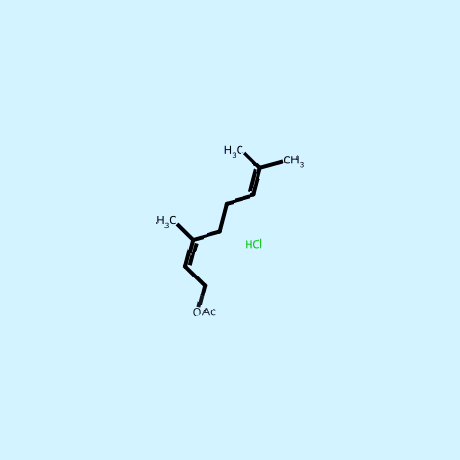 CC(=O)OC/C=C(/C)CCC=C(C)C.Cl